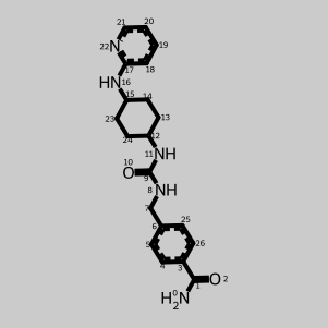 NC(=O)c1ccc(CNC(=O)NC2CCC(Nc3ccccn3)CC2)cc1